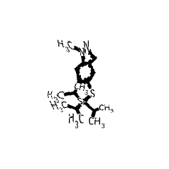 CC(C)[Si](Sc1ccc2c(cnn2C)c1)(C(C)C)C(C)C